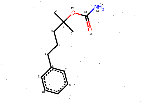 CC(C)(CCCc1ccccc1)OC(N)=O